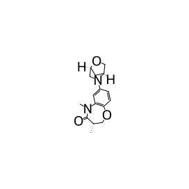 C[C@H]1COc2ccc(N3C[C@@H]4C[C@H]3CO4)cc2N(C)C1=O